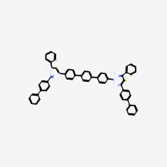 c1ccc(-c2ccc(-c3nc(-c4ccc(-c5ccc(-c6ccc(-c7nc(-c8ccc(-c9ccccc9)cc8)c8sc9ccccc9c8n7)cc6)cc5)cc4)c4sc5ccccc5c4n3)cc2)cc1